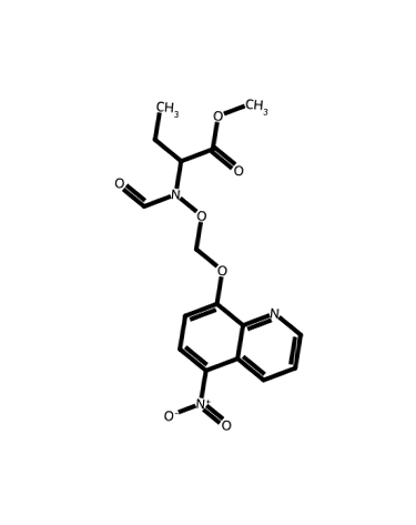 CCC(C(=O)OC)N(C=O)OCOc1ccc([N+](=O)[O-])c2cccnc12